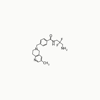 Cc1cnc2c(c1)CN(Cc1ccc(C(=O)NCC(F)(F)CN)cc1)CC2